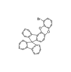 Brc1cccc2c1Oc1c(ccc3c1-c1ccccc1C31c3ccccc3-c3ccccc31)O2